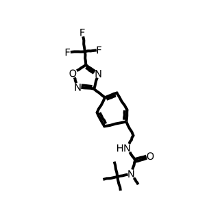 CN(C(=O)NCc1ccc(-c2noc(C(F)(F)F)n2)cc1)C(C)(C)C